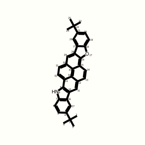 CC(C)(C)c1ccc2[nH]c3c(cc4ccc5c6oc7ccc(C(C)(C)C)cc7c6cc6ccc3c4c65)c2c1